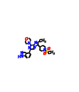 Cc1nc2c(N3CCOCC3)nc(-c3cccc4[nH]ncc34)cn2c1C1=CCN(S(C)(=O)=O)CC1